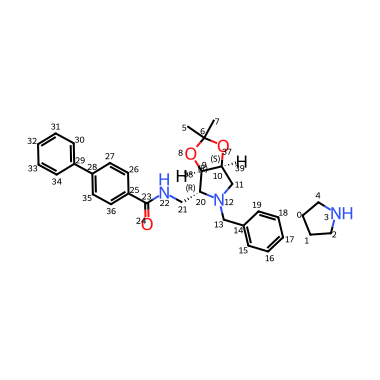 C1CCNC1.CC1(C)O[C@H]2[C@H](CN(Cc3ccccc3)[C@@H]2CNC(=O)c2ccc(-c3ccccc3)cc2)O1